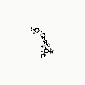 COc1ccc(CN2CCN(C3CN(C(=O)Nc4cc(C(F)(F)F)cc(C(F)(F)F)c4)C3)CC2)cc1F